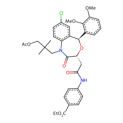 CCOC(=O)c1ccc(NC(=O)C[C@H]2O[C@H](c3cccc(OC)c3OC)c3cc(Cl)ccc3N(CC(C)(C)COC(C)=O)C2=O)cc1